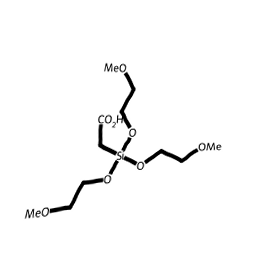 COCCO[Si](CC(=O)O)(OCCOC)OCCOC